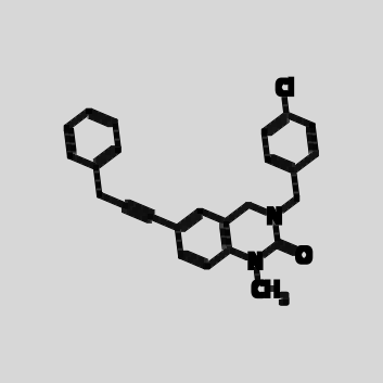 CN1C(=O)N(Cc2ccc(Cl)cc2)Cc2cc(C#CCc3ccccc3)ccc21